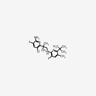 Cc1cc(F)c(NCC(C)(C)c2nc(N)c(F)cc2Cl)nc1C(C)(C)C